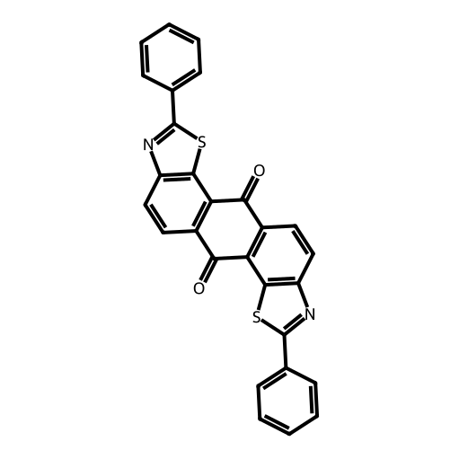 O=C1c2ccc3nc(-c4ccccc4)sc3c2C(=O)c2ccc3nc(-c4ccccc4)sc3c21